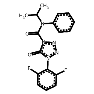 CC(C)N(C(=O)n1nnn(-c2c(F)cccc2F)c1=O)c1ccccc1